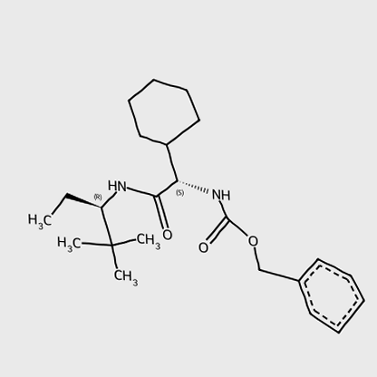 CC[C@@H](NC(=O)[C@@H](NC(=O)OCc1ccccc1)C1CCCCC1)C(C)(C)C